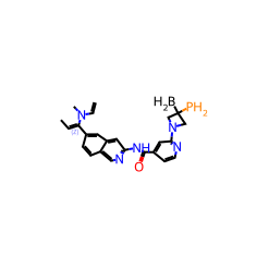 BC1(P)CN(c2cc(C(=O)Nc3cc4cc(/C(=C/C)N(C)C=C)ccc4cn3)ccn2)C1